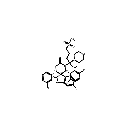 Cc1ccc(F)cc1[C@H]1N(C(C=O)(CCCS(C)(=O)=O)N2CCNCC2)C(=O)C[C@@H](c2cccc(Cl)c2)[C@]12C(=O)Nc1cc(Cl)ccc12